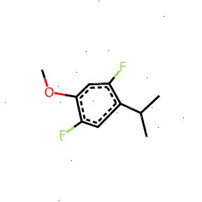 COc1cc(F)c(C(C)C)cc1F